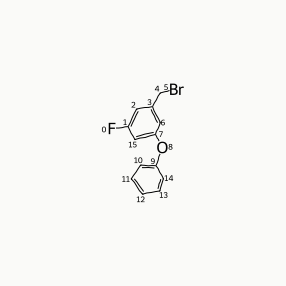 Fc1cc(CBr)cc(Oc2ccccc2)c1